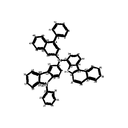 c1ccc(-c2cc(N(c3ccc4c(c3)c3ccccc3n4-c3ccccc3)c3cccc4c3sc3ccc5ccccc5c34)cc3ccccc23)cc1